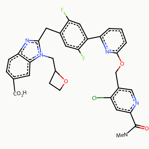 CNC(=O)c1cc(Cl)c(COc2cccc(-c3cc(F)c(Cc4nc5ccc(C(=O)O)cc5n4CC4CCO4)cc3F)n2)cn1